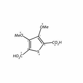 COc1c(C(=O)O)sc(C(=O)O)c1OC